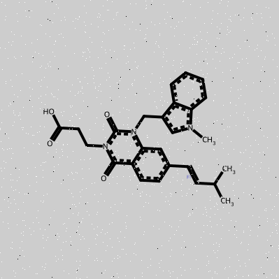 CC(C)/C=C/c1ccc2c(=O)n(CCC(=O)O)c(=O)n(Cc3cn(C)c4ccccc34)c2c1